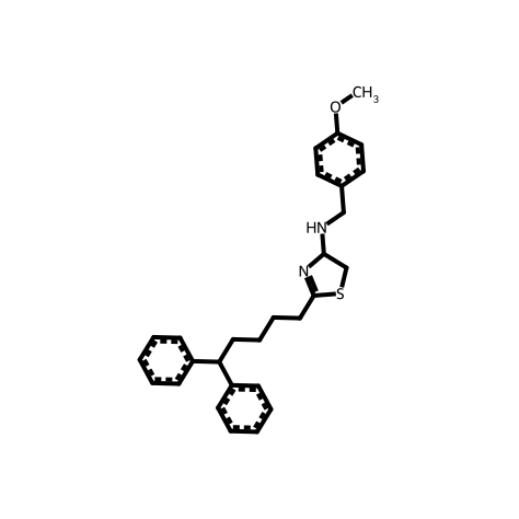 COc1ccc(CNC2CSC(CCCCC(c3ccccc3)c3ccccc3)=N2)cc1